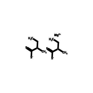 CCN(C)C(=S)[S-].CCN(C)C(=S)[S-].[Mg+2]